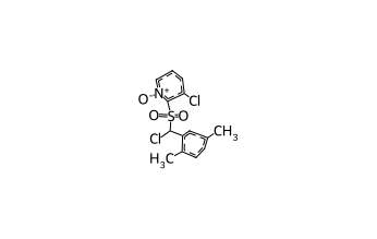 Cc1ccc(C)c(C(Cl)S(=O)(=O)c2c(Cl)ccc[n+]2[O-])c1